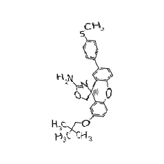 CSc1ccc(-c2ccc3c(c2)[C@]2(COC(N)=N2)c2cc(OCC(C)(C)C)ccc2O3)cc1